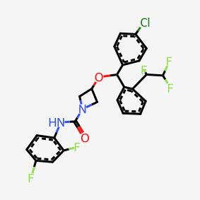 O=C(Nc1ccc(F)cc1F)N1CC(OC(c2ccc(Cl)cc2)c2ccccc2C(F)C(F)F)C1